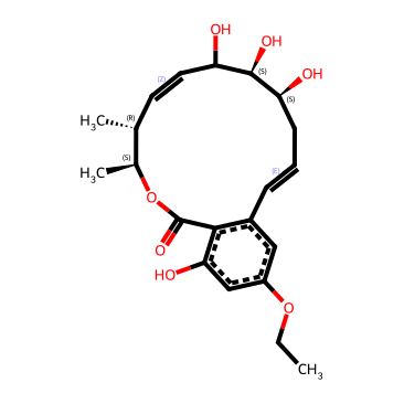 CCOc1cc(O)c2c(c1)/C=C/C[C@H](O)[C@H](O)C(O)/C=C\[C@@H](C)[C@H](C)OC2=O